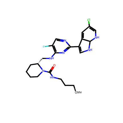 COCCCNC(=O)N1CCCC[C@@H]1CNc1nc(C2=CNC3NC=C(Cl)C=C23)ncc1F